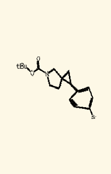 CC(C)(C)OC(=O)N1CCC2(CC2c2ccc(Br)cc2)C1